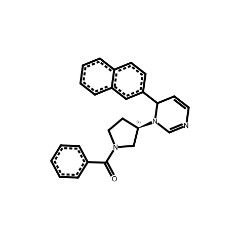 O=C(c1ccccc1)N1CC[C@@H](N2C=NC=CC2c2ccc3ccccc3c2)C1